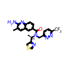 Cc1cc2cc(C(=O)N(Cc3ccc(C(F)(F)F)nn3)[C@H](C)c3cscn3)ccc2nc1N